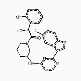 O=C(C(O)c1ccccc1Cl)N1CCCC(Nc2ccnc(-c3cnc4ccc(F)cn34)n2)C1